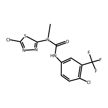 CN(C(=O)Nc1ccc(Cl)c(C(F)(F)F)c1)c1nnc(Cl)s1